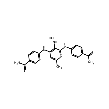 Cc1nc(Nc2ccc(C(N)=O)cc2)c(N)c(Nc2ccc(C(N)=O)cc2)n1.Cl